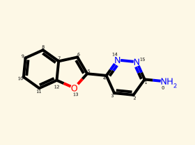 Nc1ccc(-c2cc3ccccc3o2)nn1